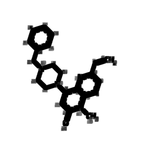 C=Cc1ccc2c(n1)c(N1CCN(Cc3ccccc3)CC1)cc(=O)n2C